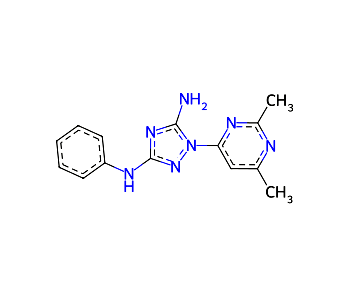 Cc1cc(-n2nc(Nc3ccccc3)nc2N)nc(C)n1